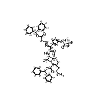 CSCC1=C(C(=O)OC(c2ccccc2)c2ccccc2)N2C(=O)C(NC(=O)C(=NOCC(=O)OC(c3ccccc3)c3ccccc3)c3csc(NC(=O)C(F)(F)F)n3)[C@@H]2SC1